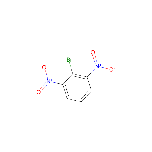 O=[N+]([O-])c1cccc([N+](=O)[O-])c1Br